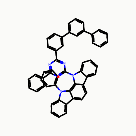 c1ccc(-c2cccc(-c3cccc(-c4nc(-c5ccccc5)nc(-n5c6ccccc6c6ccc7c8ccccc8n(-c8ccccc8)c7c65)n4)c3)c2)cc1